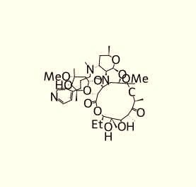 CC[C@H]1OC(=O)[C@H](C)[C@@H](O[C@H]2C[C@@](C)(OC)[C@@H](O)[C@H](C)O2)[C@H](C)[C@@H](O[C@@H]2O[C@H](C)C[C@@H](N(C)CCCc3ccncc3)[C@@H]2N(C)C)[C@@](C)(OC)C[C@@H](C)C(=O)[C@H](C)[C@@H](O)[C@]1(C)O